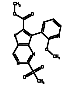 COC(=O)c1sc2cnc(S(C)(=O)=O)nc2c1-c1cccnc1OC